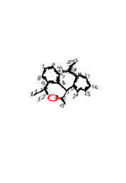 CC(=O)C(c1ccccc1C(C)C)c1ccccc1C(C)C